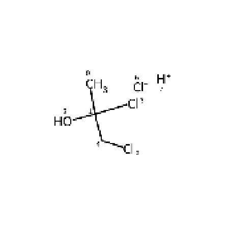 CC(O)(Cl)CCl.[Cl-].[H+]